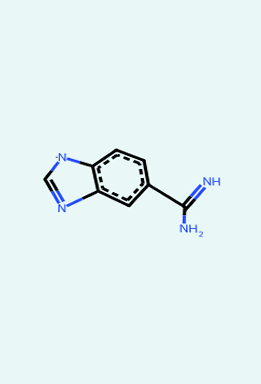 N=C(N)c1ccc2c(c1)N=C[N]2